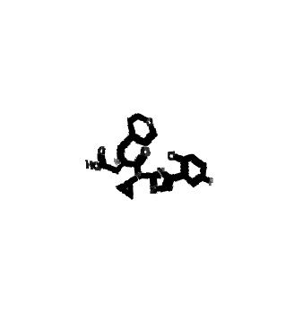 O=C(O)C[C@@H](CC1CCOCC1)C(=O)N(c1nc(-c2cc(F)ccc2Cl)cs1)C1CC1